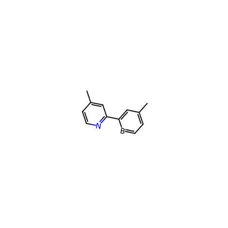 Cc1ccbc(-c2cc(C)ccn2)c1